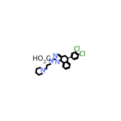 O=C(O)N(CCCN1CCCCC1)c1ncc2c(n1)-c1ccccc1[C@H](c1ccc(Cl)c(Cl)c1)C2